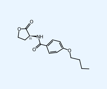 CCCCOc1ccc(C(=O)N[C@H]2CCOC2=O)cc1